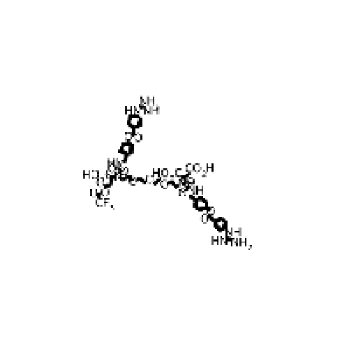 N=C(N)Nc1ccc(C(=O)Oc2ccc(CNS(=O)(=O)N(CCOCCOCCOCCN([C@@H](CC(=O)OC(=O)C(F)(F)F)C(=O)O)S(=O)(=O)NCc3ccc(OC(=O)c4ccc(NC(=N)N)cc4)cc3)[C@@H](CC(=O)O)C(=O)O)cc2)cc1